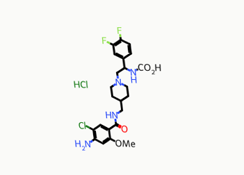 COc1cc(N)c(Cl)cc1C(=O)NCC1CCN(CC(NC(=O)O)c2ccc(F)c(F)c2)CC1.Cl